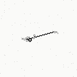 CCCCCCCCCCCCCCCC(=O)OCc1cccc(C(C)(C)C)c1